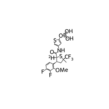 [2H][C@@]1(C(=O)Nc2csc(OB(O)O)c2)S[C@@](C)(C(F)(F)F)C[C@H]1c1ccc(F)c(F)c1OC